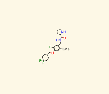 COc1cc(OCC2CCC(F)(F)CC2)c(F)cc1CNC(=O)[C@@H]1CCCN1